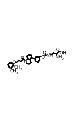 Cc1cccc(OCCCC(=O)N2CCCc3c(-c4cccc(COC(=O)NCCCC(N)C(=O)O)c4)cccc32)c1C